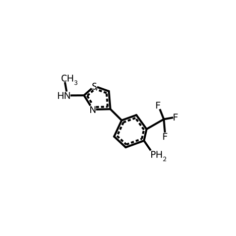 CNc1nc(-c2ccc(P)c(C(F)(F)F)c2)cs1